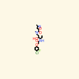 C=CC(NC(=O)COc1ccc(Cl)c(F)c1)[C@@H](O)CCN(C)C(=O)c1cc(C)no1